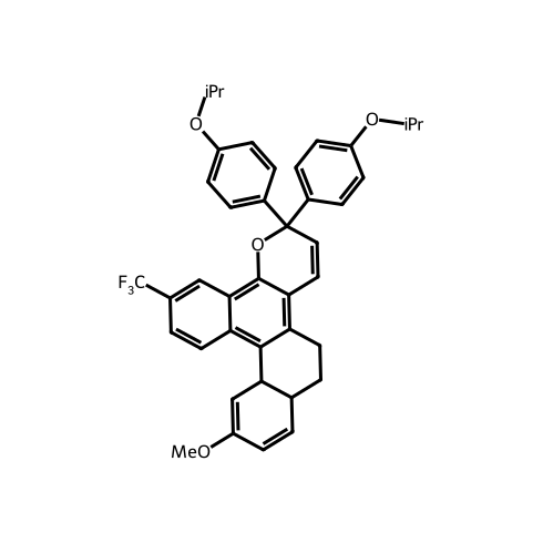 COC1=CC2c3c(c4c(c5cc(C(F)(F)F)ccc35)OC(c3ccc(OC(C)C)cc3)(c3ccc(OC(C)C)cc3)C=C4)CCC2C=C1